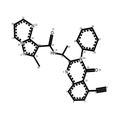 C#Cc1cccc2nc(C(C)NC(=O)c3c(C)nn4cccnc34)n(-c3ccccc3)c(=O)c12